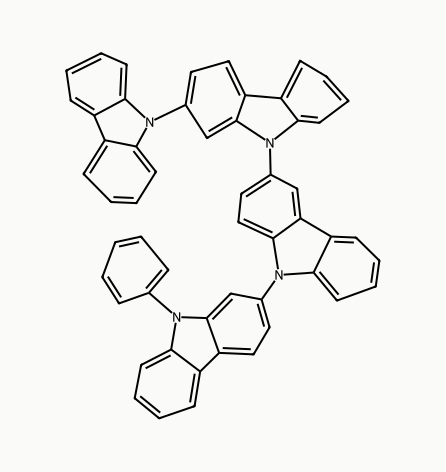 c1ccc(-n2c3ccccc3c3ccc(-n4c5ccccc5c5cc(-n6c7ccccc7c7ccc(-n8c9ccccc9c9ccccc98)cc76)ccc54)cc32)cc1